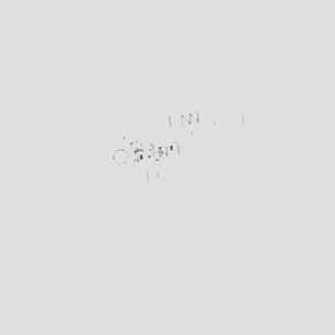 CN(CC(=O)O)NC(=O)C[C@H](F)C[C@H](CNS(=O)(=O)c1ccccc1[N+](=O)[O-])NC(=O)OC(C)(C)C